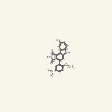 COc1ccc([N+](=O)[O-])cc1-c1cc2[nH]c3ccc(O)cc3c2c2c1C(=O)NC2=O